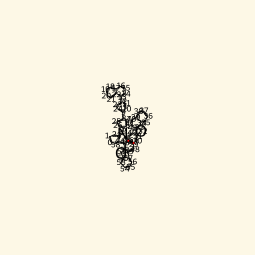 c1ccc(N(c2ccc(-c3ccc(-c4cccc5ccccc45)cc3)cc2)c2cccc3oc4c5ccccc5ccc4c23)c(-c2cccc3c2oc2ccccc23)c1